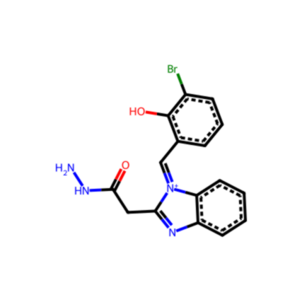 NNC(=O)CC1=Nc2ccccc2[N+]1=Cc1cccc(Br)c1O